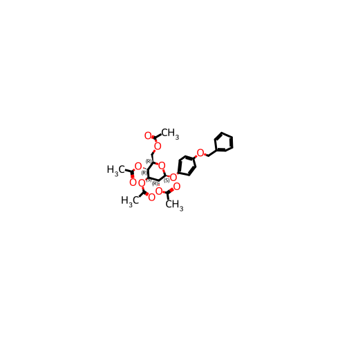 CC(=O)OC[C@H]1O[C@@H](Oc2ccc(OCc3ccccc3)cc2)[C@H](OC(C)=O)[C@@H](OC(C)=O)[C@@H]1OC(C)=O